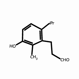 Cc1c(O)ccc(C(C)C)c1CCC=O